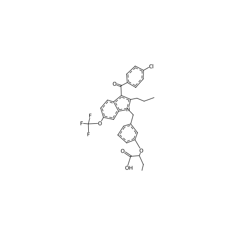 CCCc1c(C(=O)c2ccc(Cl)cc2)c2ccc(OC(F)(F)F)cc2n1Cc1cccc(OC(CC)C(=O)O)c1